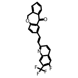 O=C1c2ccccc2COc2ccc(C=Cc3ccc4cc(F)c(C(F)(F)F)cc4n3)cc21